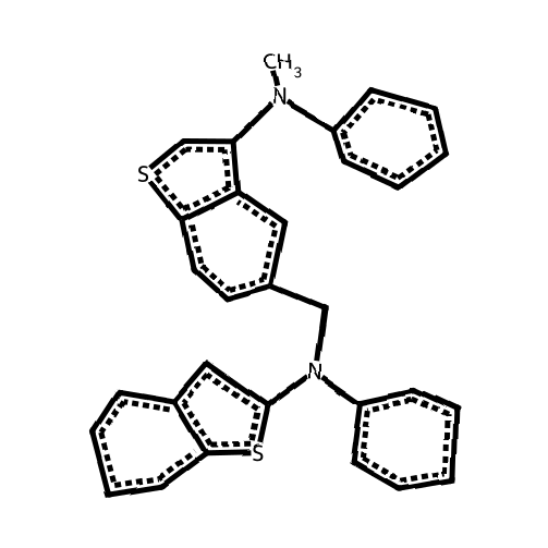 CN(c1ccccc1)c1csc2ccc(CN(c3ccccc3)c3cc4ccccc4s3)cc12